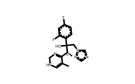 C[C@@H](C1=NCNC=C1F)C(O)(Cn1cncn1)c1ccc(F)cc1F